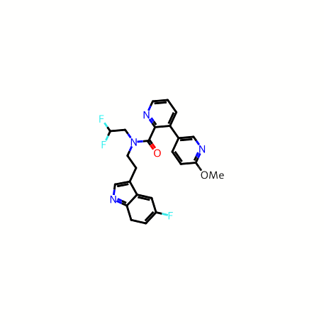 COc1ccc(-c2cccnc2C(=O)N(CCC2=CN=C3CC=C(F)C=C23)CC(F)F)cn1